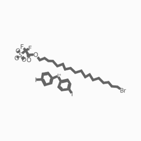 Ic1ccc([I+]c2ccc(I)cc2)cc1.O=C(OCCCCCCCCCCCCCCCCCCBr)C(F)(F)S(=O)(=O)[O-]